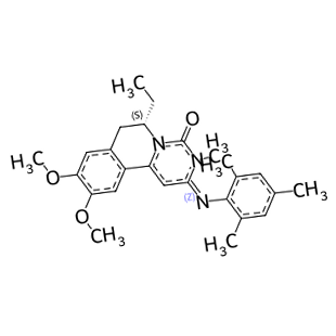 CC[C@H]1Cc2cc(OC)c(OC)cc2-c2c/c(=N/c3c(C)cc(C)cc3C)n(C)c(=O)n21